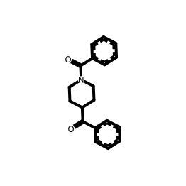 O=C(c1ccccc1)C1CCN(C(=O)c2ccccc2)CC1